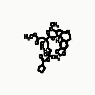 COC(=O)C[C@](O)(CCCC(C)(C)OC(=O)C1CCCC1)C(=O)O[C@@H]1C(OC)=C[C@]23CCCN2CCc2cc4c(cc2[C@H]13)OCO4